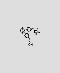 Cc1c(CN2CCN(c3nccnc3-c3ccc(CCCO)cc3)CC2)cnn1C